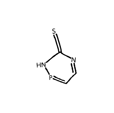 S=c1nccp[nH]1